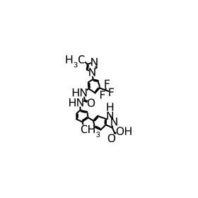 Cc1cn(-c2cc(NC(=O)Nc3ccc(C)c(-c4ccc5c(C(=O)O)n[nH]c5c4)c3)cc(C(F)(F)F)c2)cn1